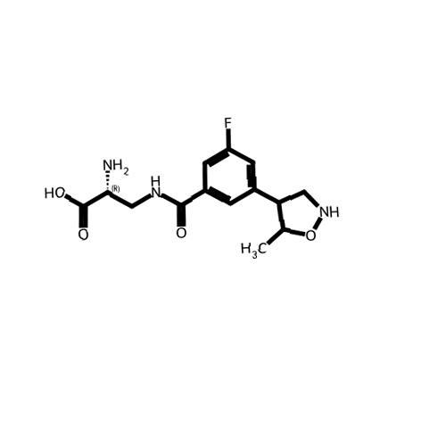 CC1ONCC1c1cc(F)cc(C(=O)NC[C@@H](N)C(=O)O)c1